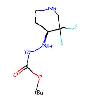 CC(C)(C)OC(=O)NNC1CCNCC1(F)F